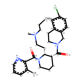 COCCN(C)CC[C@@H]1[C@H](C(=O)N2CCc3cc(Cl)ccc3C2)CCCN1C(=O)c1ncccc1C(F)(F)F